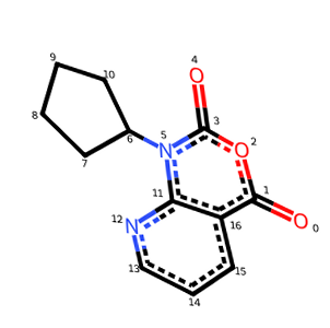 O=c1oc(=O)n(C2CCCC2)c2ncccc12